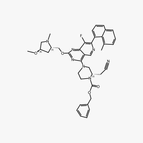 CO[C@@H]1C[C@@H](COc2nc(N3CCN(C(=O)OCc4ccccc4)[C@@H](CC#N)C3)c3cnc(-c4cccc5cccc(C)c45)c(F)c3n2)N(C)C1